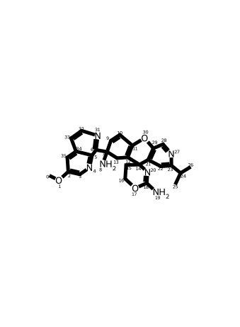 COc1cnc2c(C3(N)C=CC4=C(C3)C3(CCOC(N)=N3)c3cc(C(C)C)ncc3O4)nccc2c1